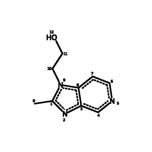 Cc1nc2cnccc2n1CCO